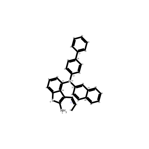 C/C=C\c1c(N)sc2cccc(N(c3ccc(-c4ccccc4)cc3)c3ccc4ccccc4c3)c12